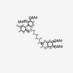 COc1ccc(C(CCCCCCN2CCc3cc(OC)c(OC)cc3C2)Sc2ccc(C)cc2)cc1OC